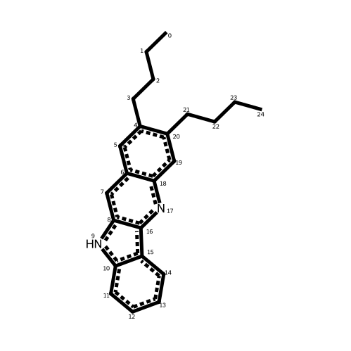 CCCCc1[c]c2cc3[nH]c4ccccc4c3nc2cc1CCCC